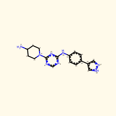 NC1CCN(c2ncnc(Nc3ccc(-c4cn[nH]c4)cc3)n2)CC1